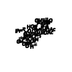 CC(=O)O[C@@H]1C[C@@]2(C)[C@@H]([C@@H](OC(=O)CC(C)C)[C@@H]3[C@@H]2[C@H](C)[C@H]2O[C@]24OC(=O)[C@@](C)(O)[C@]34C)[C@H]2[C@H]1[C@]1(C)[C@H](C[C@@H]3O[C@@H]3[C@@H]1OC(C)=O)C(=O)[C@@H]2O